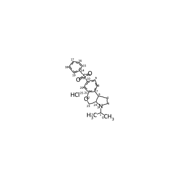 CC(C)N1CCC2c3ccc(S(=O)(=O)c4ccccc4)cc3OCC21.Cl